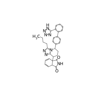 CCCCc1nnc2n1C(c1ccc(-c3ccccc3-c3nnn[nH]3)cc1)CCC2C12C=CC=CC1C(=O)NC2=O